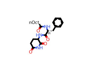 CCCCCCCCC(=O)N[C@H](Cc1ccccc1)C(=O)NC1CCC(=O)NC1=O